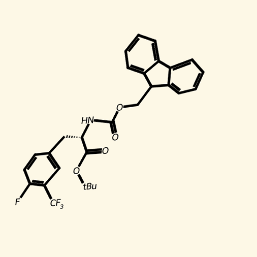 CC(C)(C)OC(=O)[C@H](Cc1ccc(F)c(C(F)(F)F)c1)NC(=O)OCC1c2ccccc2-c2ccccc21